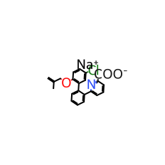 C=C(C)COc1ccc(Cl)cc1-c1ccccc1-c1cccc(C(=O)[O-])n1.[Na+]